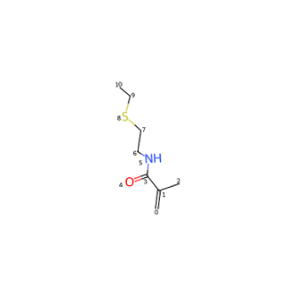 C=C(C)C(=O)NCCSCC